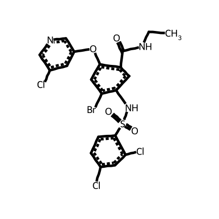 CCNC(=O)c1cc(NS(=O)(=O)c2ccc(Cl)cc2Cl)c(Br)cc1Oc1cncc(Cl)c1